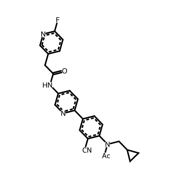 CC(=O)N(CC1CC1)c1ccc(-c2ccc(NC(=O)Cc3ccc(F)nc3)cn2)cc1C#N